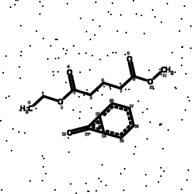 CCOC(=O)CCCC(=O)OC.O=c1c2ccccc12